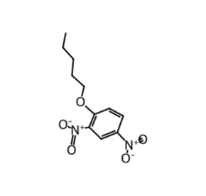 CCCCCOc1ccc([N+](=O)[O-])cc1[N+](=O)[O-]